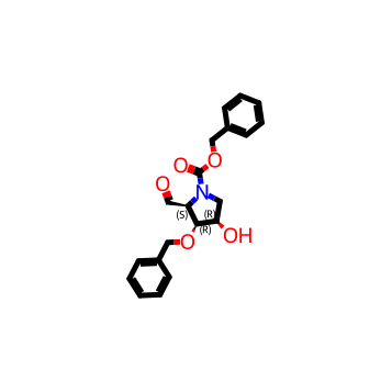 O=C[C@@H]1[C@@H](OCc2ccccc2)[C@H](O)CN1C(=O)OCc1ccccc1